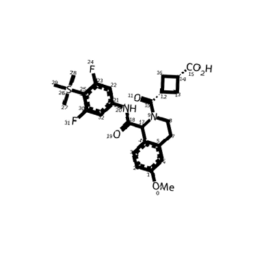 COc1ccc2c(c1)CCN(C(=O)[C@H]1C[C@@H](C(=O)O)C1)C2C(=O)Nc1cc(F)c(S(C)(C)C)c(F)c1